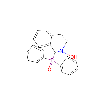 O=P(c1ccccc1)(c1ccccc1)C1c2ccccc2CCN1O